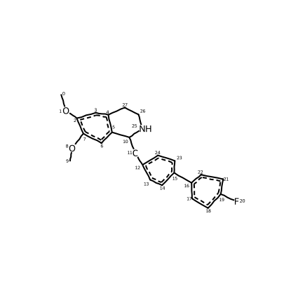 COc1cc2c(cc1OC)C(Cc1ccc(-c3ccc(F)cc3)cc1)NCC2